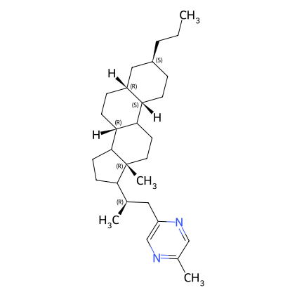 CCC[C@H]1CC[C@@H]2C3CC[C@@]4(C)C(CCC4[C@H](C)Cc4cnc(C)cn4)[C@@H]3CC[C@@H]2C1